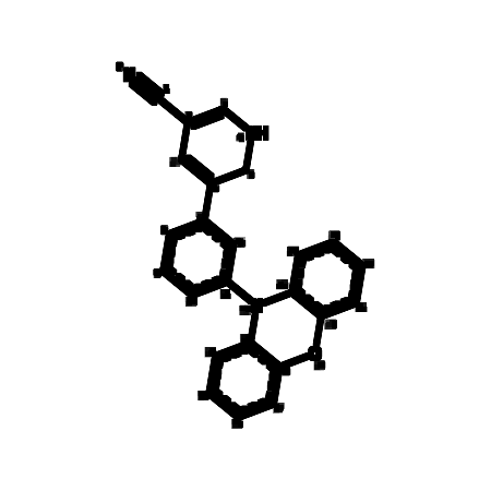 N#CC1=CNCC(c2cccc(N3c4ccccc4Oc4ccccc43)c2)=C1